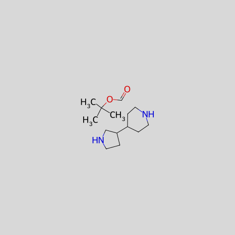 C1CC(C2CCNC2)CCN1.CC(C)(C)OC=O